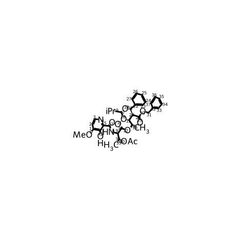 COc1ccnc(C(=O)NC(C(=O)O[C@@H](C)[C@H](OC(=O)C(C)C)[C@@H](Cc2ccccc2)C(=O)OCc2ccccc2)[C@@H](C)OC(C)=O)c1O